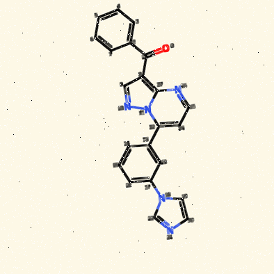 O=C(c1ccccc1)c1cnn2c(-c3cccc(-n4ccnc4)c3)ccnc12